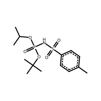 Cc1ccc(S(=O)(=O)NP(=O)(OC(C)C)OC(C)(C)C)cc1